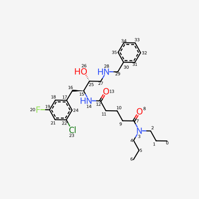 CCCN(CCC)C(=O)CCCC(=O)N[C@@H](Cc1cc(F)cc(Cl)c1)[C@H](O)CNCc1ccccc1